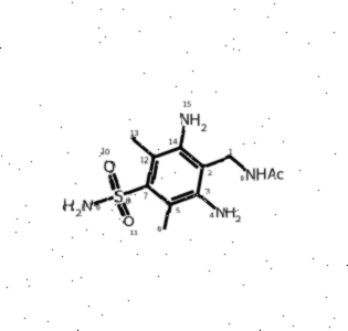 CC(=O)NCc1c(N)c(C)c(S(N)(=O)=O)c(C)c1N